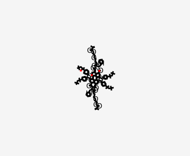 C=C(C)C(=O)OCCOCCNC(=O)C(Cc1ccccc1)N1C(=O)c2cc(Oc3ccc(C(C)(C)CC(C)(C)C)cc3)c3c4c(Oc5ccc(C(C)(C)CC(C)(C)C)cc5)cc5c6c(cc(Oc7ccc(C(C)(C)CC(C)(C)C)cc7)c(c7c(Oc8ccc(C(C)(C)CC(C)(C)C)cc8)cc(c2c37)C1=O)c64)C(=O)N(C(Cc1ccccc1)C(=O)NCCOCCOC(=O)C(=C)C)C5=O